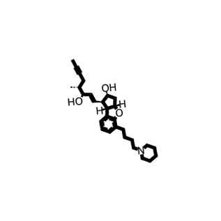 CC#CC[C@@H](C)[C@H](O)C=C[C@@H]1[C@H]2c3cccc(CCCCN4CCCCC4)c3O[C@H]2C[C@H]1O